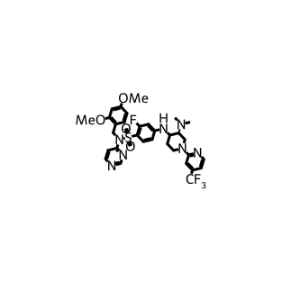 COc1ccc(CN(c2ccncn2)S(=O)(=O)c2ccc(NC3CCN(c4cc(C(F)(F)F)ccn4)C[C@@H]3N(C)C)cc2F)c(OC)c1